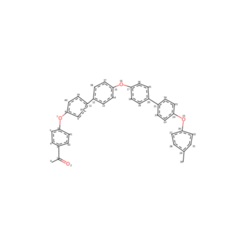 CC(=O)c1ccc(Oc2ccc(-c3ccc(Oc4ccc(-c5ccc(Oc6ccc(C)cc6)cc5)cc4)cc3)cc2)cc1